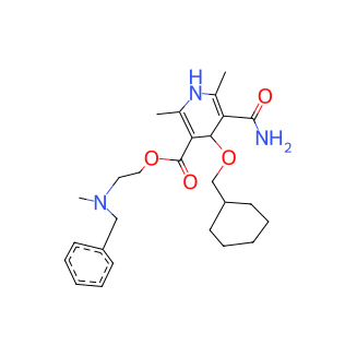 CC1=C(C(N)=O)C(OCC2CCCCC2)C(C(=O)OCCN(C)Cc2ccccc2)=C(C)N1